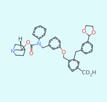 O=C(O)c1ccc(COc2cccc(CN(C(=O)O[C@H]3CN4CCC3CC4)c3ccccc3)c2)c(Cc2cccc(C3OCCO3)c2)c1